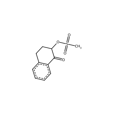 CS(=O)(=O)OC1CCc2ccccc2C1=O